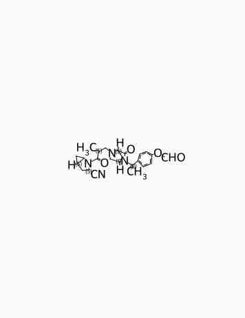 C[C@H](c1ccc(OC=O)cc1)N1C(=O)[C@@H]2C[C@H]1CN2C[C@H](C)C(=O)N1C2C[C@H]2C[C@H]1C#N